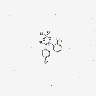 CCS(=O)(=O)O/C(=C(\C#N)c1ccc(Br)cc1)c1ccccc1C(F)(F)F